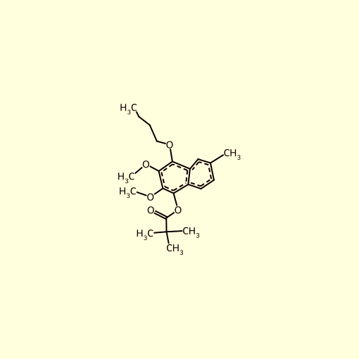 CCCCOc1c(OC)c(OC)c(OC(=O)C(C)(C)C)c2ccc(C)cc12